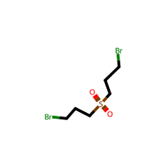 O=S(=O)(CCCBr)CCCBr